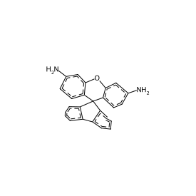 Nc1ccc2c(c1)Oc1cc(N)ccc1C21c2ccccc2-c2ccccc21